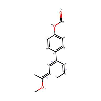 C\C=C/C(=C\C=C(/C)OC)c1ccc(OC=O)cc1